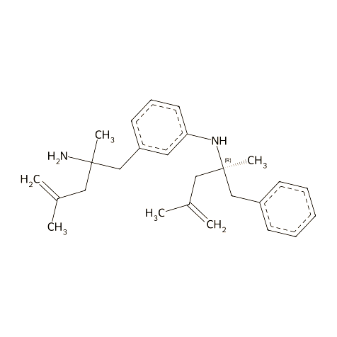 C=C(C)CC(C)(N)Cc1cccc(N[C@](C)(CC(=C)C)Cc2ccccc2)c1